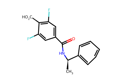 C[C@@H](NC(=O)c1cc(F)c(C(=O)O)c(F)c1)c1ccccc1